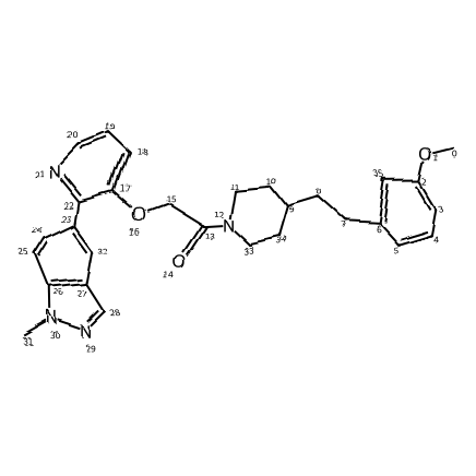 COc1cccc(CCC2CCN(C(=O)COc3cccnc3-c3ccc4c(cnn4C)c3)CC2)c1